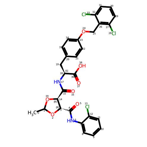 CC1O[C@@H](C(=O)Nc2ccccc2Cl)[C@H](C(=O)N[C@@H](Cc2ccc(OCc3c(Cl)cccc3Cl)cc2)C(=O)O)O1